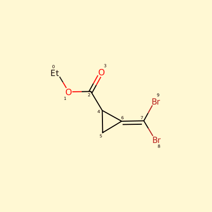 CCOC(=O)C1CC1=C(Br)Br